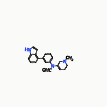 CN1CCC=C(N(C=O)c2cccc(-c3cccc4[nH]ccc34)c2)C1